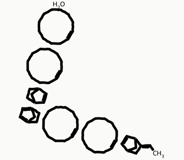 C1=C2CCC(=C1)C2.C1=CC2CCC1C2.C1=CCCCCCCCCCC1.C1=CCCCCCCCCCC1.C1=CCCCCCCCCCC1.C1=CCCCCCCCCCC1.CC=C1CC2C=CC1C2.O